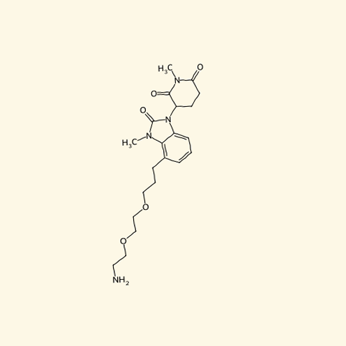 CN1C(=O)CCC(n2c(=O)n(C)c3c(CCCOCCOCCN)cccc32)C1=O